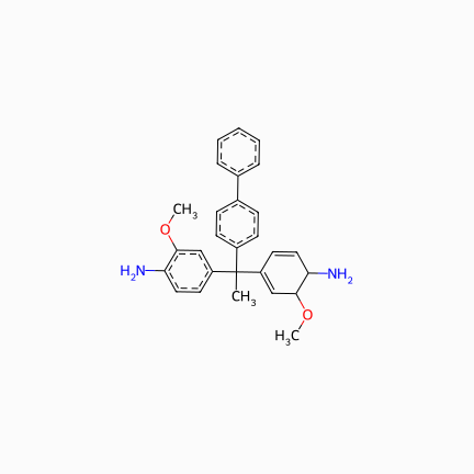 COc1cc(C(C)(C2=CC(OC)C(N)C=C2)c2ccc(-c3ccccc3)cc2)ccc1N